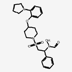 O=CN(O)C(CS(=O)(=O)N1CCC(Oc2ccccc2N2CCCC2)CC1)c1ccccc1